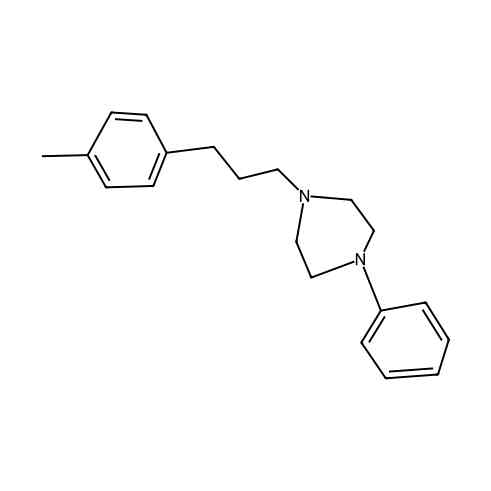 Cc1ccc(CCCN2CCN(c3ccccc3)CC2)cc1